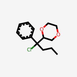 CCCC(Cl)(c1ccccc1)C1COCCO1